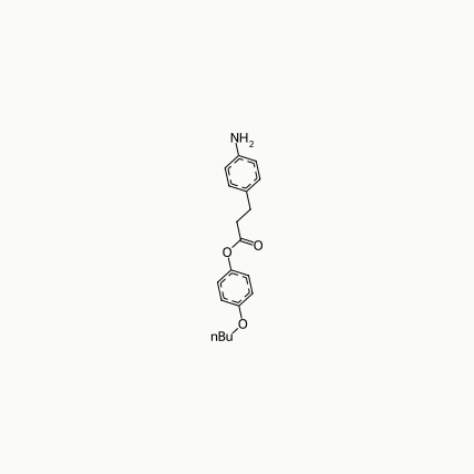 CCCCOc1ccc(OC(=O)CCc2ccc(N)cc2)cc1